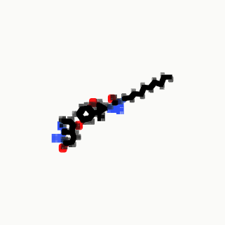 CCCCCCCCCCNC(=O)N[C@@H]1C2Oc3ccc(Oc4ccnc5c4CCC(=O)N5)cc3[C@H]21